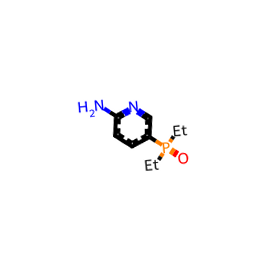 CCP(=O)(CC)c1ccc(N)nc1